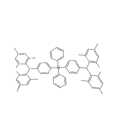 Cc1cc(C)c(C(c2ccc([Si](c3ccccc3)(c3ccccc3)c3ccc(C(c4c(C)cc(C)cc4C)c4c(C)cc(C)cc4C)cc3)cc2)c2c(C)cc(C)cc2C)c(C)c1